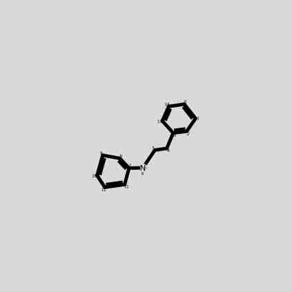 c1ccc(CC[N]c2ccccc2)cc1